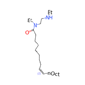 CCCCCCCC/C=C\CCCCCCCC(=O)N(CC)CCNCC